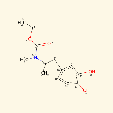 CCOC(=O)N(C)C(C)Cc1ccc(O)c(O)c1